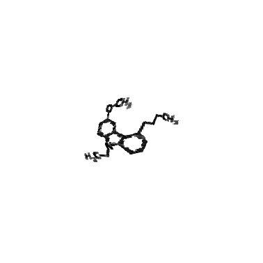 CCCCc1cccc2c1c1cc(OC)ccc1n2CC